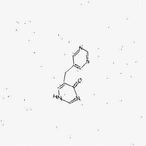 O=c1nc[nH]cc1Cc1cncnc1